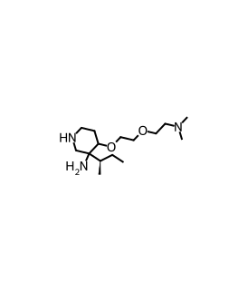 CC[C@@H](C)C1(N)CNCCC1OCCOCCN(C)C